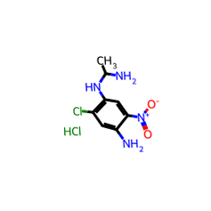 CC(N)Nc1cc([N+](=O)[O-])c(N)cc1Cl.Cl